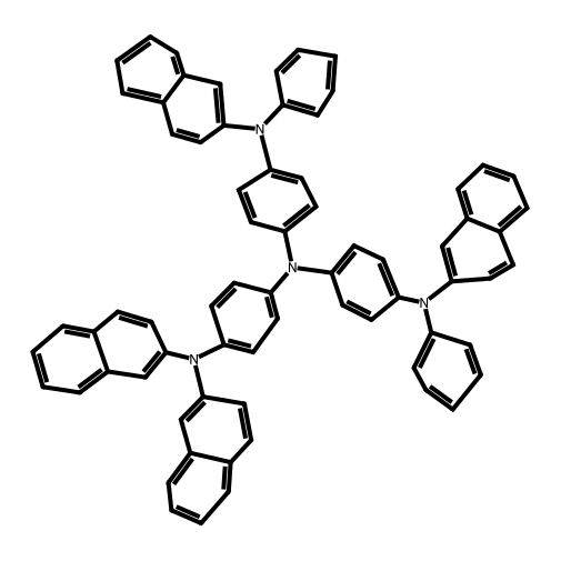 c1ccc(N(c2ccc(N(c3ccc(N(c4ccccc4)c4ccc5ccccc5c4)cc3)c3ccc(N(c4ccc5ccccc5c4)c4ccc5ccccc5c4)cc3)cc2)c2ccc3ccccc3c2)cc1